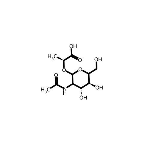 CC(=O)NC1C(O[C@@H](C)C(=O)O)OC(CO)[C@@H](O)[C@@H]1O